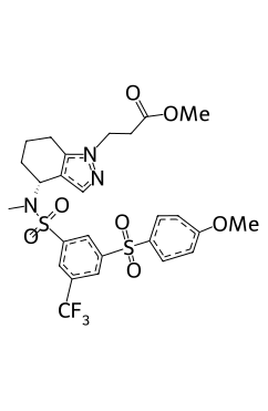 COC(=O)CCn1ncc2c1CCC[C@H]2N(C)S(=O)(=O)c1cc(C(F)(F)F)cc(S(=O)(=O)c2ccc(OC)cc2)c1